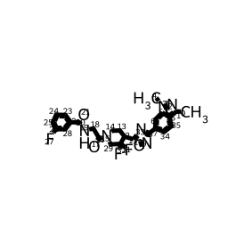 Cc1nn(C)c2cc(-c3noc(C4CCN(C(=O)CNC(=O)c5cccc(F)c5)CC4(F)F)n3)ccc12